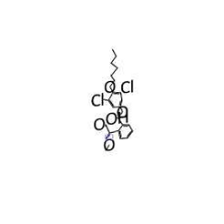 CCCCCCOc1c(Cl)cc(OCc2ccccc2/C(=C\OC)C(=O)O)cc1Cl